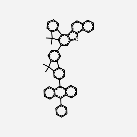 CC1(C)c2ccc(-c3cc4oc5c6ccccc6ccc5c4c4c3C(C)(C)c3ccccc3-4)cc2-c2ccc(-c3c4ccccc4c(-c4ccccc4)c4ccccc34)cc21